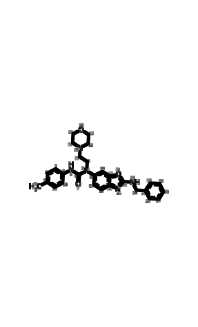 Cc1ccc(NC(=O)N(CCN2CCOCC2)c2ccc3nc(NCc4ccccc4)oc3c2)cc1